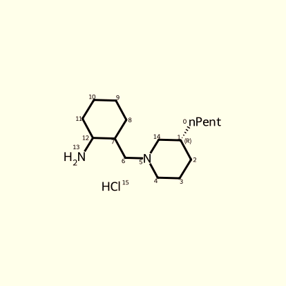 CCCCC[C@@H]1CCCN(CC2CCCCC2N)C1.Cl